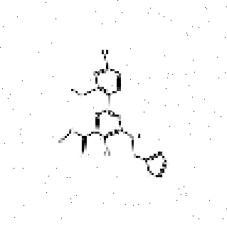 COC(=O)c1nc(-c2ccc(Cl)cc2OC)nc(NCc2ccco2)c1Cl